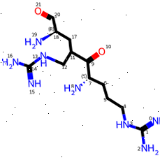 N=C(N)NCCC[C@H](N)C(=O)C(CNC(=N)N)C[C@@H](N)[C]=O